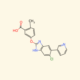 Cc1ccc(Oc2nc3cc(-c4cccnc4)c(Cl)cc3[nH]2)cc1C(=O)O